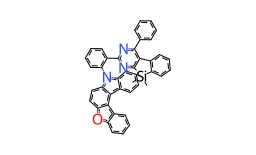 C[Si]1(C)c2ccccc2-c2c(-c3ccccc3)nc(-c3ccccc3-n3c4ccccc4c4c5c(ccc43)oc3ccccc35)nc21